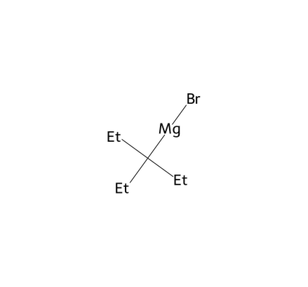 CC[C](CC)(CC)[Mg][Br]